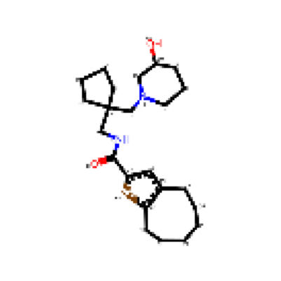 O=C(NCC1(CN2CCCC(O)C2)CCCC1)c1cc2c(s1)CCCCCC2